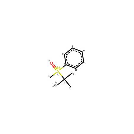 CC(C)C(C)(C)[SH](C)(=O)c1ccccc1